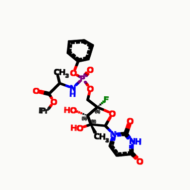 CC(C)OC(=O)C(C)NP(=O)(OC[C@@]1(F)OC(n2ccc(=O)[nH]c2=O)[C@](C)(O)[C@@H]1O)Oc1ccccc1